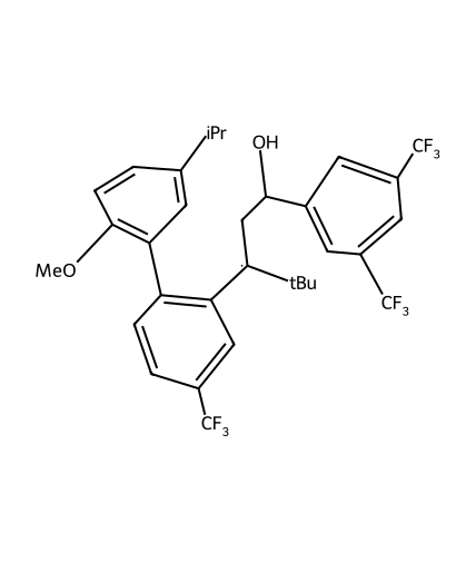 COc1ccc(C(C)C)cc1-c1ccc(C(F)(F)F)cc1[C](CC(O)c1cc(C(F)(F)F)cc(C(F)(F)F)c1)C(C)(C)C